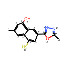 Cc1cc(O)c2cc(-c3nnc(C)o3)cc(S)c2c1